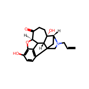 C=CCN1CC[C@@H]2C3c4c5ccc(O)c4O[C@H]3C(=O)CC[C@@]2(O)[C@H]1C5